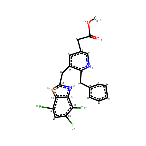 COC(=O)Cc1cnc(Cc2ccccc2)c(Cc2nc3c(F)c(F)cc(F)c3s2)c1